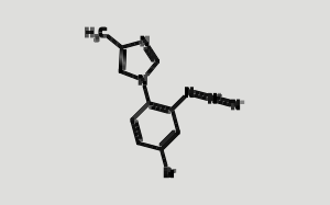 Cc1cn(-c2ccc(Br)cc2N=[N+]=[N-])cn1